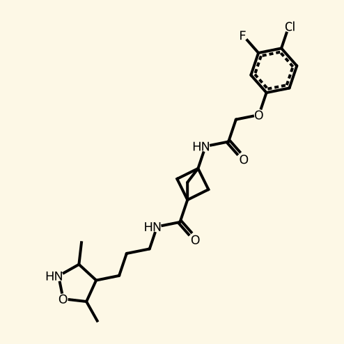 CC1NOC(C)C1CCCNC(=O)C12CC(NC(=O)COc3ccc(Cl)c(F)c3)(C1)C2